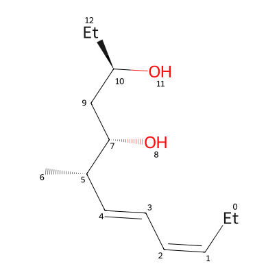 CC/C=C\C=C\[C@H](C)[C@@H](O)C[C@H](O)CC